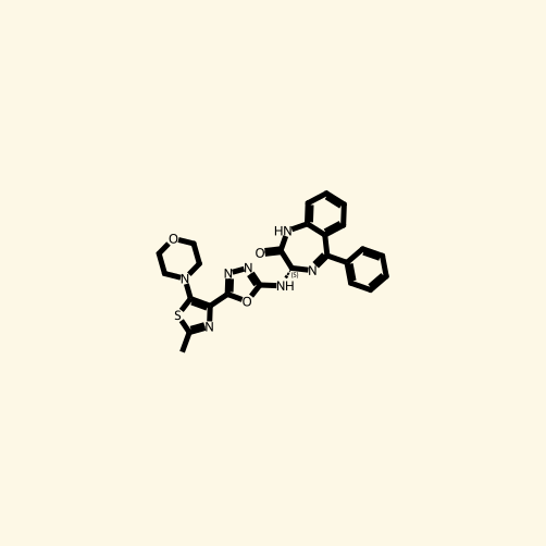 Cc1nc(-c2nnc(N[C@H]3N=C(c4ccccc4)c4ccccc4NC3=O)o2)c(N2CCOCC2)s1